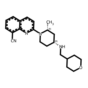 C[C@@H]1C[C@H](NCC2CCOCC2)CCN1c1ccc2cccc(C#N)c2n1